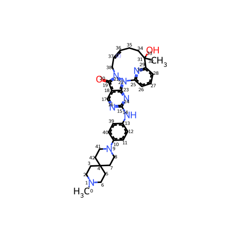 CN1CCC2(CC1)CCN(c1ccc(Nc3ncc4c(=O)n5n(c4n3)-c3cccc(n3)C(C)(O)CC/C=C\C5)cc1)CC2